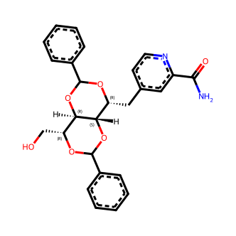 NC(=O)c1cc(C[C@H]2OC(c3ccccc3)O[C@H]3[C@H]2OC(c2ccccc2)O[C@@H]3CO)ccn1